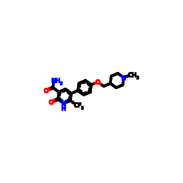 CN1CCC(COc2ccc(-c3cc(C(N)=O)c(=O)[nH]c3C(F)(F)F)cc2)CC1